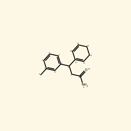 Cc1cccc(C(CC(N)=O)C2=CCCC=C2)c1